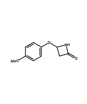 COc1ccc(OC2CC(=O)N2)cc1